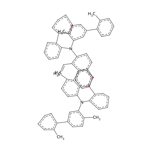 C=Cc1c(N(c2cc(-c3ccccc3C)ccc2C)c2ccccc2-c2ccccc2)ccc2ccc3c(N(c4cc(-c5ccccc5C)ccc4C)c4ccccc4-c4ccccc4)ccc(C)c3c12